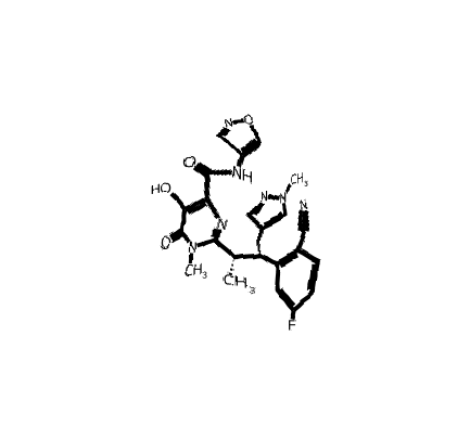 C[C@H](c1nc(C(=O)Nc2cnoc2)c(O)c(=O)n1C)[C@@H](c1cnn(C)c1)c1cc(F)ccc1C#N